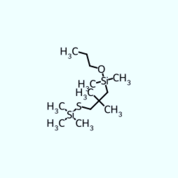 CCCO[Si](C)(C)CC(C)(C)CS[Si](C)(C)C